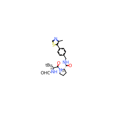 Cc1ncsc1-c1ccc(CNC(=O)[C@@H]2CCCN2C(=O)[C@@H](NC=O)C(C)(C)C)cc1